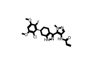 C=CC(=O)Nc1cnn(C)c1-c1n[nH]c2c1CC[C@H](c1c(F)c(OC)cc(OC)c1Cl)C2